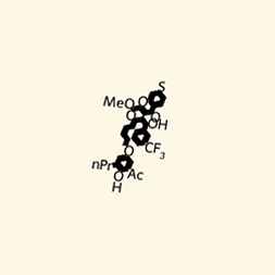 CCCc1cc(OCC/C=C\C=C\[C@@H](c2c(C(=O)OC)oc3c(c2=O)=CCC(=S)C=3)[C@@H](O)c2cccc(C(F)(F)F)c2)cc(C(C)=O)c1O